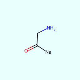 NC[C](=O)[Na]